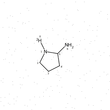 [2H]N1CCCC1N